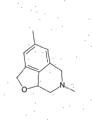 Cc1cc2c3c(c1)CN(C)CC3OC2